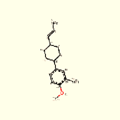 CCCC=CC1CCC(c2ccc(OCC)c(CCC)c2)CC1